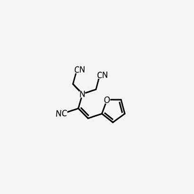 N#CCN(CC#N)C(C#N)=Cc1ccco1